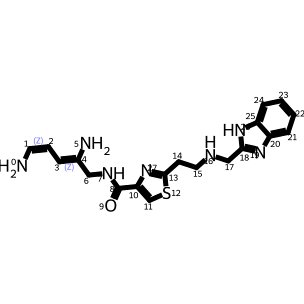 N/C=C\C=C(/N)CNC(=O)c1csc(CCNCc2nc3ccccc3[nH]2)n1